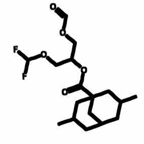 CC1CC2CC(C)CC(C(=O)OC(COC=O)COC(F)F)(C1)C2